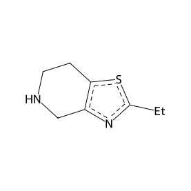 CCc1nc2c(s1)CCNC2